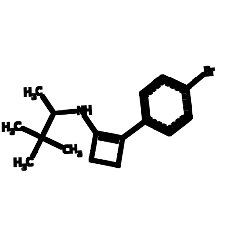 CC(NC1=C(c2ccc(Br)cc2)CC1)C(C)(C)C